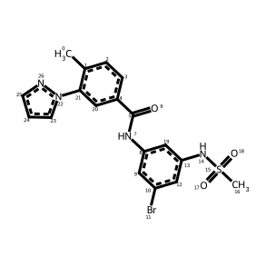 Cc1ccc(C(=O)Nc2cc(Br)cc(NS(C)(=O)=O)c2)cc1-n1cccn1